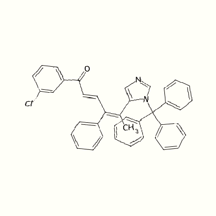 C/C(=C(/C=C/C(=O)c1cccc(Cl)c1)c1ccccc1)c1cncn1C(c1ccccc1)(c1ccccc1)c1ccccc1